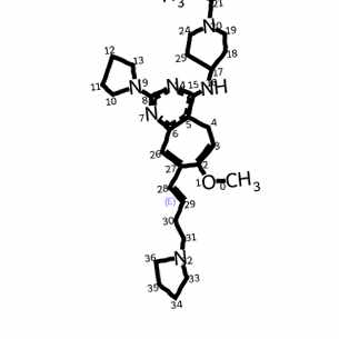 COC1=CCc2c(nc(N3CCCC3)nc2NC2CCN(C(C)C)CC2)C=C1/C=C/CCN1CCCC1